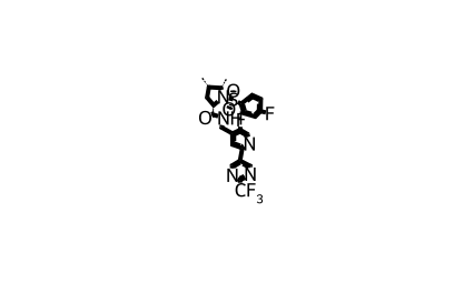 C[C@H]1C[C@@H](C(=O)NCc2cc(-c3cnc(C(F)(F)F)nc3)ncc2F)N(S(=O)(=O)c2ccc(F)cc2)[C@H]1C